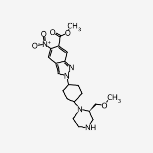 COC[C@H]1CNCCN1C1CCC(n2cc3cc([N+](=O)[O-])c(C(=O)OC)cc3n2)CC1